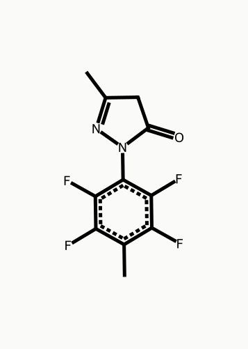 CC1=NN(c2c(F)c(F)c(C)c(F)c2F)C(=O)C1